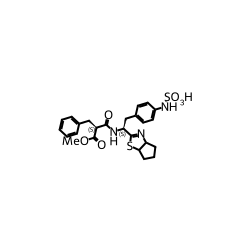 COC(=O)[C@@H](Cc1ccccc1)C(=O)N[C@@H](Cc1ccc(NS(=O)(=O)O)cc1)C1=NC2CCCC2S1